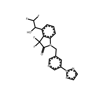 O=C1N(Cc2cncc(-n3nccn3)c2)c2cccc(C(O)C(F)F)c2C1(F)F